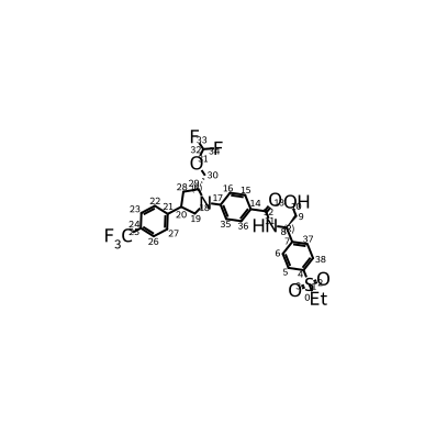 CCS(=O)(=O)c1ccc([C@H](CO)NC(=O)c2ccc(N3CC(c4ccc(C(F)(F)F)cc4)C[C@@H]3COC(F)F)cc2)cc1